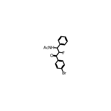 CC(=O)NC(c1ccccc1)C(F)C(=O)c1ccc(Br)cc1